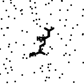 CCCN(C)CC[SiH2]C=C(C)C